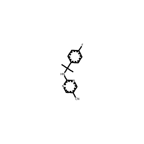 CC(C)(Nc1ncc(C#N)cn1)c1ccc(F)cc1